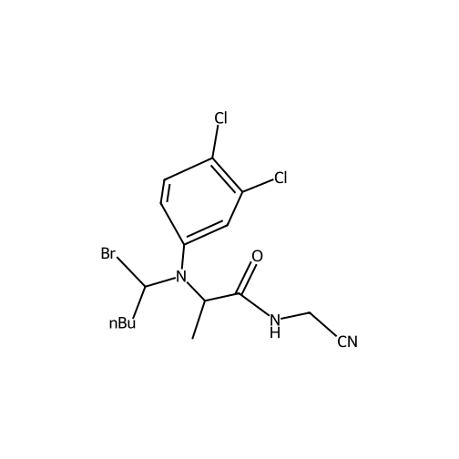 CCCCC(Br)N(c1ccc(Cl)c(Cl)c1)C(C)C(=O)NCC#N